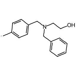 [CH2]c1ccc(CN(CCO)Cc2ccccc2)cc1